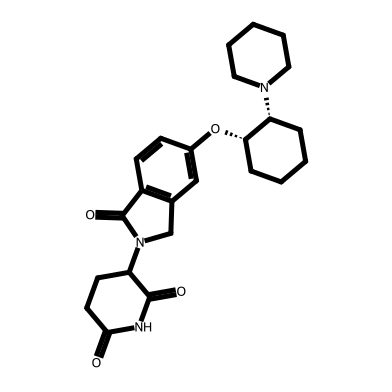 O=C1CCC(N2Cc3cc(O[C@H]4CCCC[C@H]4N4CCCCC4)ccc3C2=O)C(=O)N1